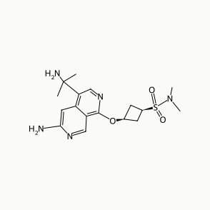 CN(C)S(=O)(=O)[C@H]1C[C@@H](Oc2ncc(C(C)(C)N)c3cc(N)ncc23)C1